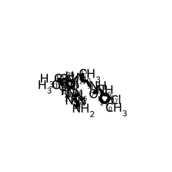 Cc1ccc(NC(=O)NCCCN(C)C[C@H]2O[C@@H](n3cnc4c(N)ncnc43)[C@@H]3OC(C)(C)O[C@@H]32)cc1Cl